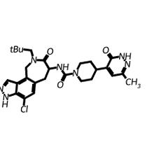 Cc1cc(C2CCN(C(=O)NC3Cc4cc(Cl)c5[nH]ncc5c4CN(CC(C)(C)C)C3=O)CC2)c(=O)[nH]n1